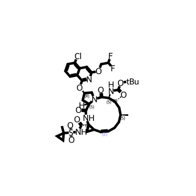 C[C@H]1CC/C=C\C2C[C@@]2(C(=O)NS(=O)(=O)C2(C)CC2)NC(=O)[C@@H]2C[C@@H](Oc3nc(OCC(F)F)cc4c(Cl)cccc34)CN2C(=O)[C@@H](NC(=O)OC(C)(C)C)[C@H](C)C1